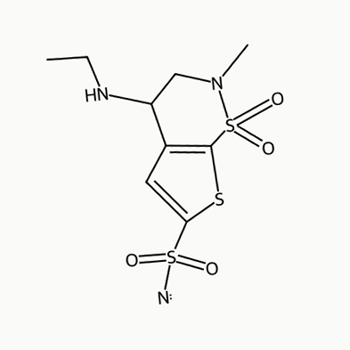 CCNC1CN(C)S(=O)(=O)c2sc(S([N])(=O)=O)cc21